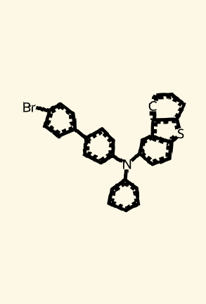 Brc1ccc(-c2ccc(N(c3ccccc3)c3ccc4sc5ccccc5c4c3)cc2)cc1